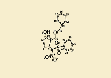 O=[N+]([O-])C(C1C=C[C@H](O)C1COCc1ccccc1)S(=O)(=O)c1ccccc1